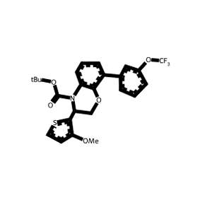 COc1ccsc1C1COc2c(-c3cccc(OC(F)(F)F)c3)cccc2N1C(=O)OC(C)(C)C